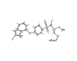 CCCCCOC[C@H](CC(C)C)N(C)S(=O)(=O)c1ccc(Cc2nccc3nc(C)[nH]c23)cc1